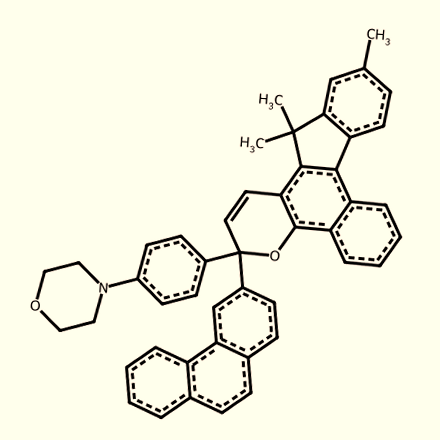 Cc1ccc2c(c1)C(C)(C)c1c3c(c4ccccc4c1-2)OC(c1ccc(N2CCOCC2)cc1)(c1ccc2ccc4ccccc4c2c1)C=C3